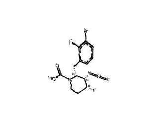 [N-]=[N+]=N[C@@H]1[C@H](F)CCN(C(=O)O)[C@@H]1Cc1cccc(Br)c1F